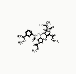 C=C(OC)c1cccc(NC(=O)[C@@H]2C[C@H](SC3=C(C(=O)OC)N4C(=O)[C@H]([C@@H](C)O)[C@H]4[C@H]3C)CN2C(=O)OC)c1